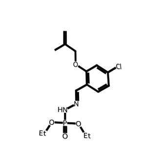 C=C(C)COc1cc(Cl)ccc1C=NNP(=O)(OCC)OCC